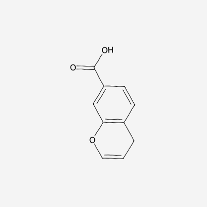 O=C(O)c1ccc2c(c1)OC=CC2